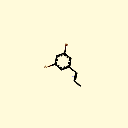 C/C=C/c1cc(Br)cc(Br)c1